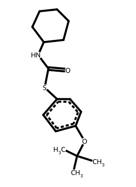 CC(C)(C)Oc1ccc(SC(=O)NC2CCCCC2)cc1